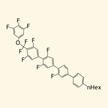 CCCCCCc1ccc(-c2ccc(-c3cc(F)c(-c4cc(F)c(C(F)(F)Oc5cc(F)c(F)c(F)c5)c(F)c4)c(F)c3)c(F)c2)cc1